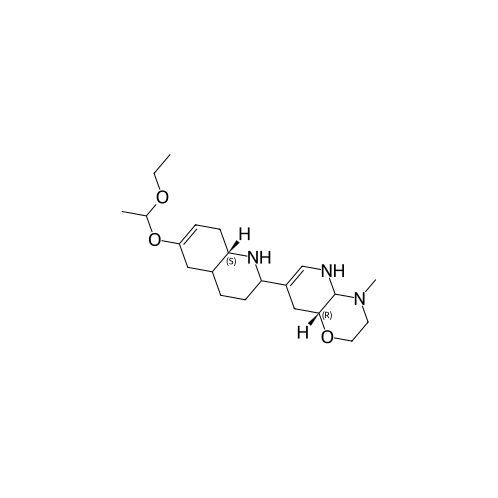 CCOC(C)OC1=CC[C@@H]2NC(C3=CNC4[C@@H](C3)OCCN4C)CCC2C1